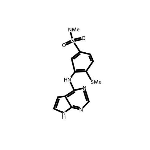 CNS(=O)(=O)c1ccc(SC)c(Nc2ncnc3[nH]ccc23)c1